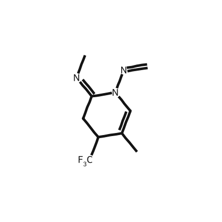 C=NN1C=C(C)C(C(F)(F)F)C/C1=N/C